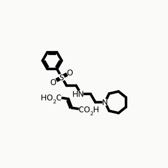 O=C(O)C=CC(=O)O.O=S(=O)(CCNCCN1CCCCCC1)c1ccccc1